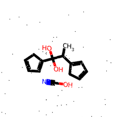 CC(C1=CC=CC1)C(O)(O)C1=CC=CC1.N#CO